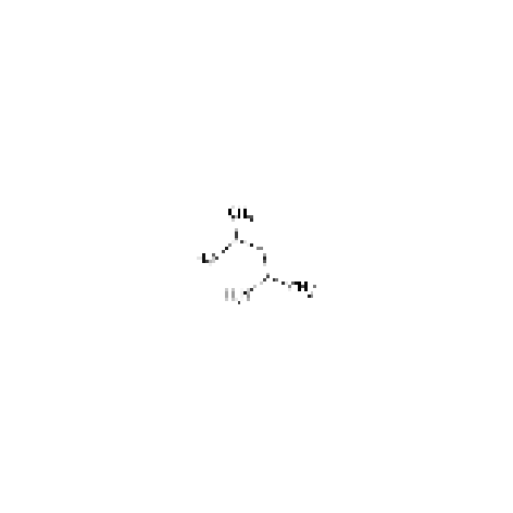 [CH2]C(N)CC(C)N